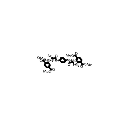 COC(=O)c1ccc(C(=O)OC)c(N/N=C(\C(C)=O)C(=O)Nc2ccc(NC(=O)/C(=N/N(C)c3cc(C(=O)OC)ccc3C(=O)OC)C(C)=O)cc2)c1